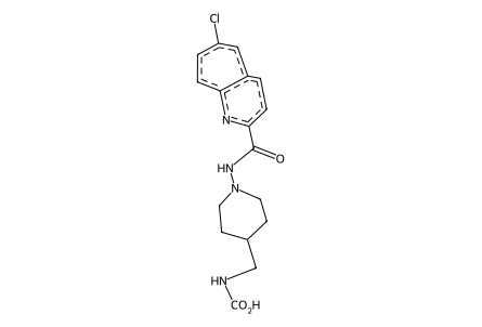 O=C(O)NCC1CCN(NC(=O)c2ccc3cc(Cl)ccc3n2)CC1